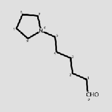 O=CCCCCCN1CCCC1